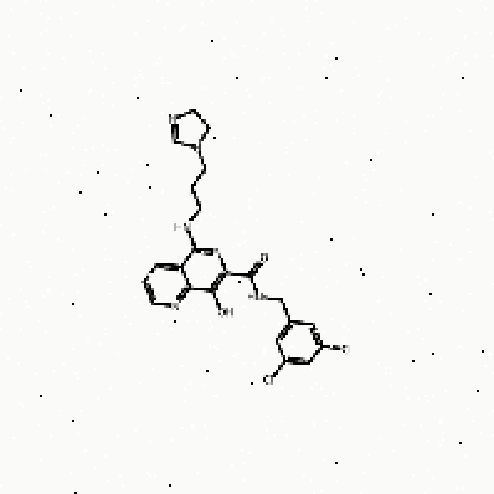 O=C(NCc1cc(Cl)cc(Cl)c1)c1nc(NCCCN2C=NCC2)c2cccnc2c1O